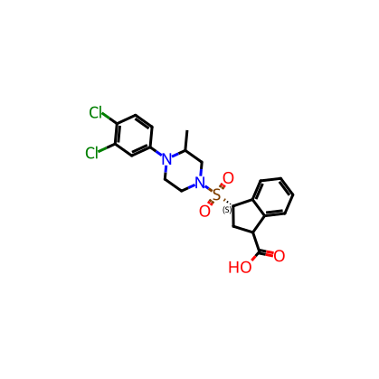 CC1CN(S(=O)(=O)[C@H]2CC(C(=O)O)c3ccccc32)CCN1c1ccc(Cl)c(Cl)c1